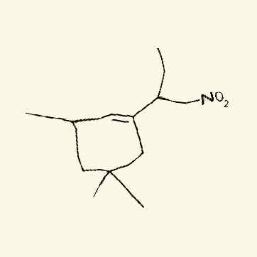 CC1C=C(C(C)[N+](=O)[O-])CC(C)(C)C1